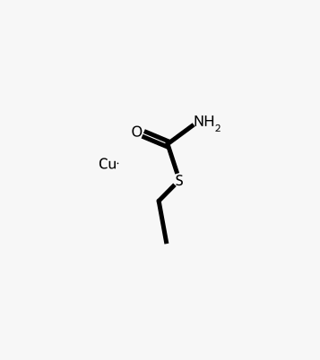 CCSC(N)=O.[Cu]